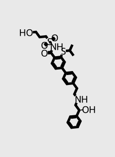 CC(C)Sc1cc(-c2ccc(CCNC[C@H](O)c3ccccc3)cc2)ccc1C(=O)NS(=O)(=O)CCCO